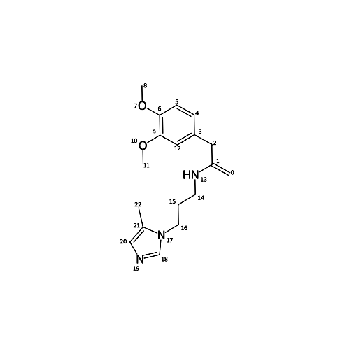 C=C(Cc1ccc(OC)c(OC)c1)NCCCn1cncc1C